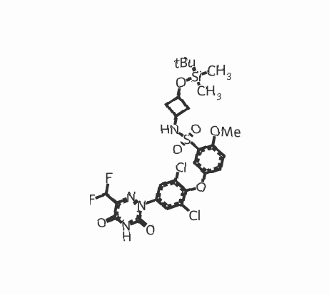 COc1ccc(Oc2c(Cl)cc(-n3nc(C(F)F)c(=O)[nH]c3=O)cc2Cl)cc1S(=O)(=O)NC1CC(O[Si](C)(C)C(C)(C)C)C1